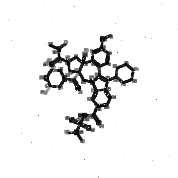 COc1ccc2c(c1)[C@H]1CN(C(=O)N(C)C)C[C@]1(C(=O)N1C[C@@H](C)O[C@@H](C)C1)Cn1c-2c(C2CCCCC2)c2ccc(C(=O)NS(=O)(=O)N(C)C)cc21